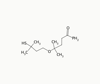 CC(C)(S)CCOC(C)(C)CCC(=O)P